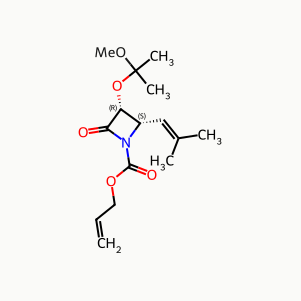 C=CCOC(=O)N1C(=O)[C@H](OC(C)(C)OC)[C@@H]1C=C(C)C